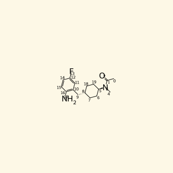 CC(=O)N(C)[C@H]1CC[C@H](Cc2cc(F)ccc2N)CC1